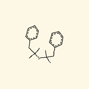 CC(C)(Cc1ccccc1)SC(C)(C)Cc1ccccc1